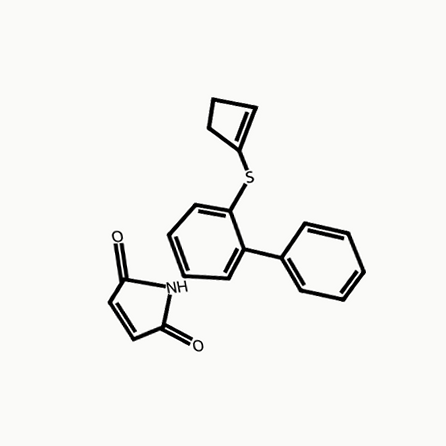 C1=C(Sc2ccccc2-c2ccccc2)CC1.O=C1C=CC(=O)N1